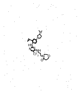 CN(C)C1CCN(c2ccc(Nc3ncc(C(F)(F)F)c(NCCCN4CCOCCC4=O)n3)c(C3CC3)c2)C1